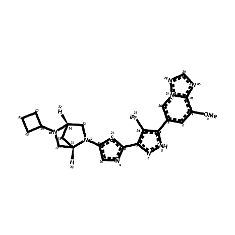 COc1cc(-c2[nH]nc(-c3ncc(N4C[C@@H]5C[C@H]4CN5C4CCC4)s3)c2C(C)C)cn2ncnc12